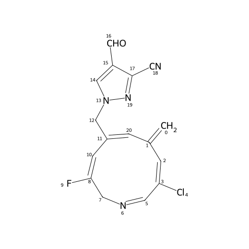 C=C1/C=C(Cl)\C=N/C/C(F)=C\C(Cn2cc(C=O)c(C#N)n2)=C/1